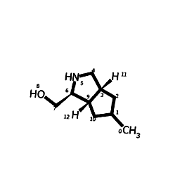 CC1C[C@H]2CN[C@H](CO)[C@H]2C1